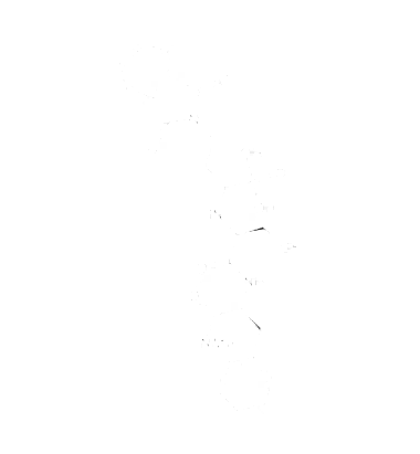 CNC(=O)[C@H](Cc1ccccc1)NC(=O)[C@H](CC(C)C)NC(CCN1C(=O)c2ccccc2C1=O)P(=O)(O)O